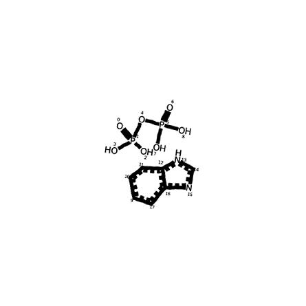 O=P(O)(O)OP(=O)(O)O.c1ccc2[nH]cnc2c1